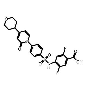 O=C(O)c1cc(F)c(NS(=O)(=O)c2ccc(-n3ccc(C4CCOCC4)cc3=O)cc2)cc1F